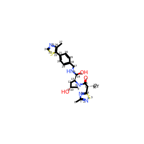 Cc1nsc([C@H](C(=O)N2C[C@H](O)C[C@H]2C(O)NCc2ccc(-c3scnc3C)cc2)C(C)C)n1